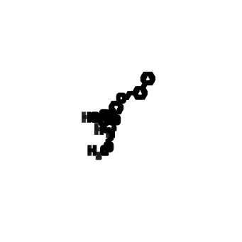 COCCN1CCC(C(=O)NO)(S(=O)(=O)c2ccc(OCCc3cccc(-c4ccccc4)c3)cc2)CC1